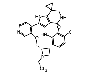 Cc1c(Cl)cccc1Nc1c(-c2ccncc2OC[C@@H]2CCN2CC(F)(F)F)[nH]c2c1C(=O)NCC21CC1